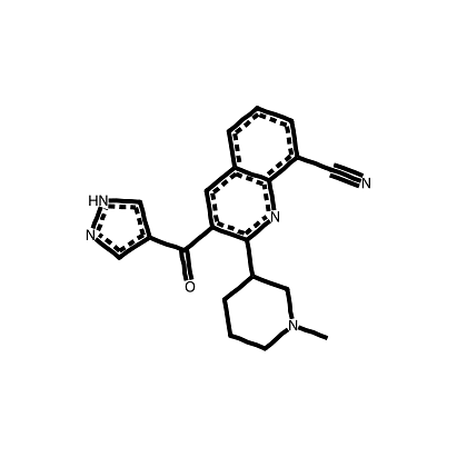 CN1CCCC(c2nc3c(C#N)cccc3cc2C(=O)c2cn[nH]c2)C1